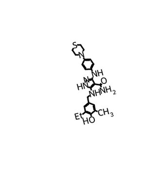 CCc1cc(CNc2[nH]nc(Nc3ccc(N4CCSCC4)cc3)c2C(N)=O)cc(C)c1O